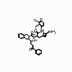 NC12CC(CC(NC(=O)[C@@H]3Cc4ccccc4CN3C(O)CCC(=O)c3ccccc3)C(=O)Nc3ccc(Cl)c(Cl)c3F)(C1)C2